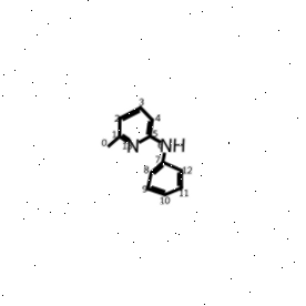 Cc1cccc(Nc2ccccc2)n1